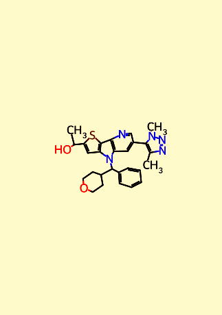 Cc1nnn(C)c1-c1cnc2c3sc(C(C)O)cc3n(C(c3ccccc3)C3CCOCC3)c2c1